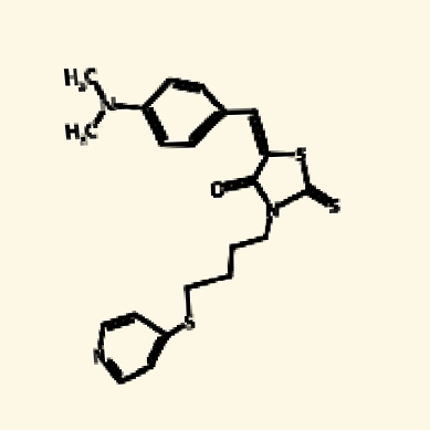 CN(C)c1ccc(C=C2SC(=S)N(CCCCSc3ccncc3)C2=O)cc1